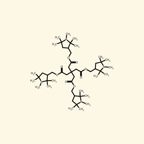 CN1C(C)(C)CC(COC(=O)CC(CC(=O)OCC2CC(C)(C)N(C)C2(C)C)(CC(=O)OCC2CC(C)(C)N(C)C2(C)C)CC(=O)OCC2CC(C)(C)N(C)C2(C)C)C1(C)C